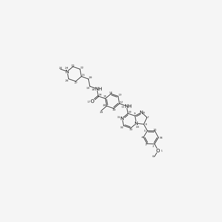 COc1ccc(C2CN=C3C(Nc4ccc(C(=O)NCCC5CCN(C)CC5)c(C)c4)=NC=CN32)cc1